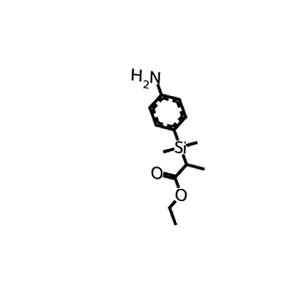 CCOC(=O)C(C)[Si](C)(C)c1ccc(N)cc1